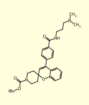 CN(C)CCCNC(=O)c1ccc(C2=CC3(CCN(C(=O)OC(C)(C)C)CC3)Oc3ccccc32)cc1